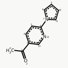 CC(=O)c1ccc(-n2cccc2)nc1